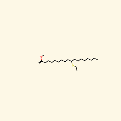 C=C(CCCCCCCCC(CCCCCCCC)SCC)OC